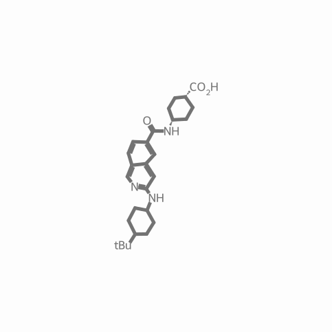 CC(C)(C)C1CCC(Nc2cc3cc(C(=O)N[C@H]4CC[C@@H](C(=O)O)CC4)ccc3cn2)CC1